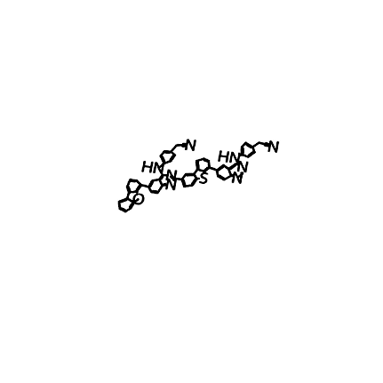 N#CCc1ccc(Nc2ncnc3ccc(-c4cccc5c4sc4ccc(-c6nc(Nc7ccc(CC#N)cc7)c7cc(-c8cccc9c8oc8ccccc89)ccc7n6)cc45)cc23)cc1